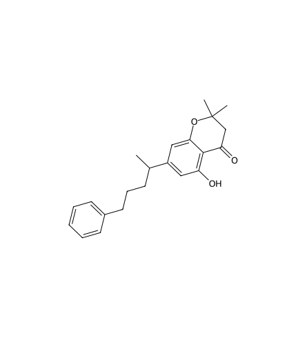 CC(CCCc1ccccc1)c1cc(O)c2c(c1)OC(C)(C)CC2=O